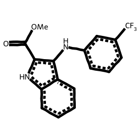 COC(=O)c1[nH]c2ccccc2c1Nc1cccc(C(F)(F)F)c1